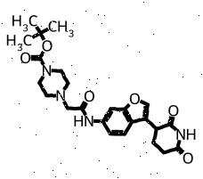 CC(C)(C)OC(=O)N1CCN(CC(=O)Nc2ccc3c(C4CCC(=O)NC4=O)coc3c2)CC1